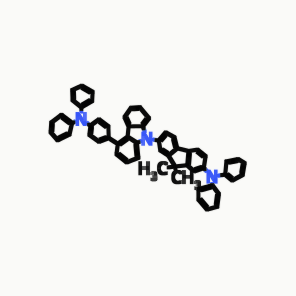 CC1(C)c2cc(N(c3ccccc3)c3ccccc3)ccc2-c2ccc(-n3c4ccccc4c4c(-c5ccc(N(c6ccccc6)c6ccccc6)cc5)cccc43)cc21